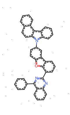 c1ccc(-c2nc(-c3cccc4c3oc3ccc(-n5c6ccccc6c6c7ccccc7ccc65)cc34)nc3ccccc23)cc1